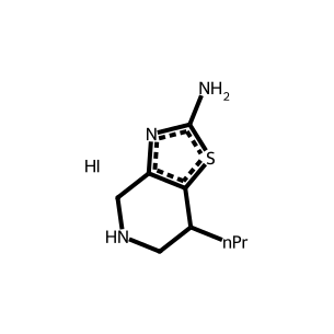 CCCC1CNCc2nc(N)sc21.I